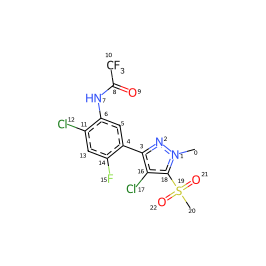 Cn1nc(-c2cc(NC(=O)C(F)(F)F)c(Cl)cc2F)c(Cl)c1S(C)(=O)=O